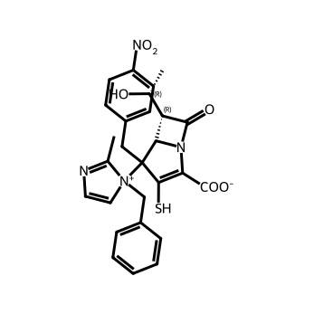 CC1=NC=C[N+]1(Cc1ccccc1)C1(Cc2ccc([N+](=O)[O-])cc2)C(S)=C(C(=O)[O-])N2C(=O)[C@@H]([C@@H](C)O)C21